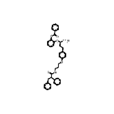 O=C(Oc1ccccc1NC(CCc1ccc(OCCCNC(=O)C(Cc2ccccc2)c2ccccc2)cc1)C(=O)O)c1ccccc1